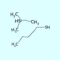 CCCCS.C[SiH](C)C